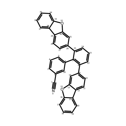 N#Cc1cccc(-c2c(-c3ccc4c(c3)oc3ccccc34)cccc2-c2ccc3c(c2)oc2ccccc23)c1